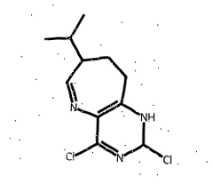 CC(C)C1C=NC2=C(CC1)NC(Cl)N=C2Cl